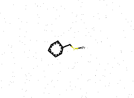 [CH2]C([CH2])SCc1ccccc1